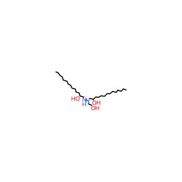 CCCCCCCCCCCCC(O)CNN(CCO)CC(O)CCCCCCCCCCCC